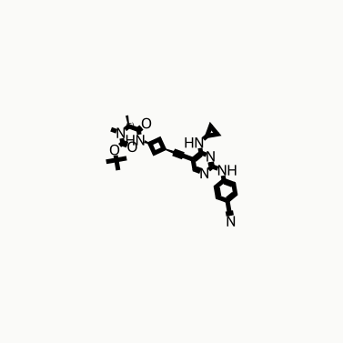 C[C@@H](C(=O)N[C@H]1C[C@@H](C#Cc2cnc(Nc3ccc(C#N)cc3)nc2NC2CC2)C1)N(C)C(=O)OC(C)(C)C